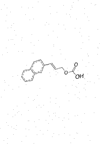 O=C(O)OCC=Cc1ccc2ccccc2c1